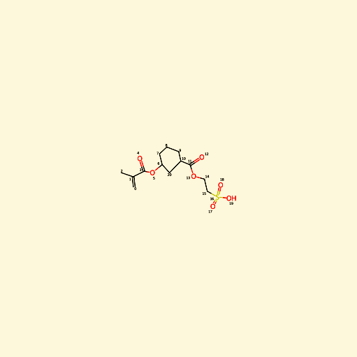 C=C(C)C(=O)OC1CCCC(C(=O)OCCS(=O)(=O)O)C1